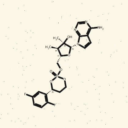 C[C@@H]1[C@@H](COP2(=O)OCC[C@H](c3cc(F)ccc3F)O2)O[C@@H](n2ccc3c(N)ncnc32)[C@]1(C)O